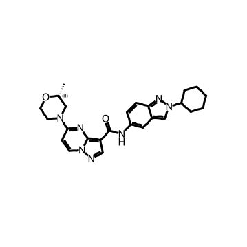 C[C@@H]1CN(c2ccn3ncc(C(=O)Nc4ccc5nn(C6CCCCC6)cc5c4)c3n2)CCO1